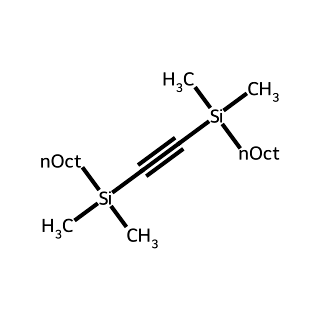 CCCCCCCC[Si](C)(C)C#C[Si](C)(C)CCCCCCCC